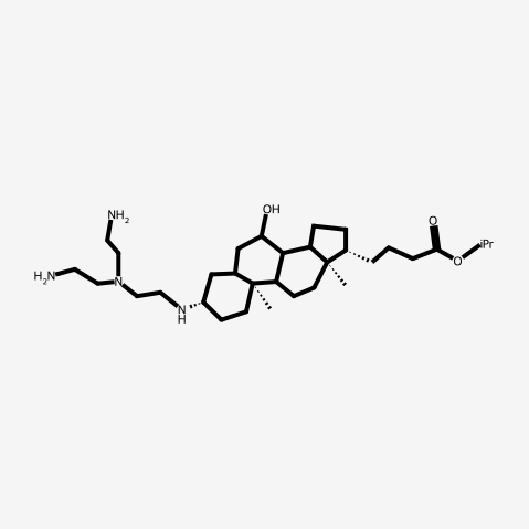 CC(C)OC(=O)CCC[C@H]1CCC2C3C(O)CC4C[C@@H](NCCN(CCN)CCN)CC[C@]4(C)C3CC[C@@]21C